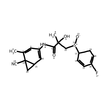 CC1=CC(NC(=O)C(C)(O)C[S+]([O-])C2C=CC(F)=CC2)=CC2CC12C#N